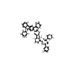 C1=CC(c2ccc3c(c2)oc2c(-c4nc(-c5ccccc5)nc(-c5ccccc5)n4)cccc23)=C(c2ccc3c(c2)c2ccccc2n3-c2ccccc2)CC1